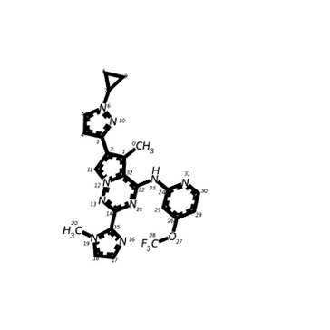 Cc1c(-c2ccn(C3CC3)n2)cn2nc(-c3nccn3C)nc(Nc3cc(OC(F)(F)F)ccn3)c12